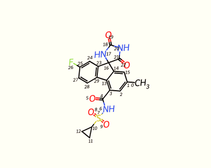 Cc1cc(C(=O)NS(=O)(=O)C2CC2)c2c(c1)C1(NC(=O)NC1=O)c1cc(F)ccc1-2